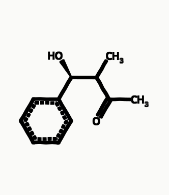 CC(=O)C(C)[C@H](O)c1ccccc1